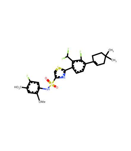 COc1cc(C(=O)O)c(F)cc1NS(=O)(=O)c1csc(-c2ccc(C3=CCC(C)(C)CC3)c(F)c2C(F)F)n1